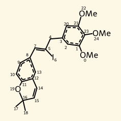 COc1cc(CC(I)=Cc2ccc3c(c2)C=CC(C)(C)O3)cc(OC)c1OC